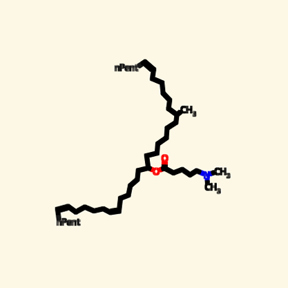 CCCCC/C=C\CCCC/C=C\CCCCCC(CCCCCCC(C)CCCCC/C=C\CCCCC)OC(=O)CCCCN(C)C